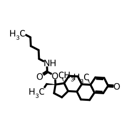 CCCCCNC(=O)O[C@@]1(CC)CCC2C3CCC4=CC(=O)C=C[C@]4(C)C3CC[C@@]21C